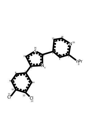 CCCc1cc(-c2nc(-c3ccc(Cl)c(Cl)c3)cs2)ccn1